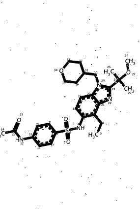 CCc1c(NS(=O)(=O)c2ccc(NC(C)=O)cc2)ccc2c1nc(C(C)(C)OC)n2CC1CCOCC1